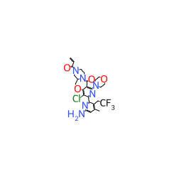 C=CC(=O)N1CCN2C(=O)c3c(N4CCOCC4)nc(-c4nc(N)cc(C)c4CC(F)(F)F)c(Cl)c3OCC2C1